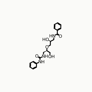 O=C(NC[C@H](CO)OC[C@@H](O)CNC(=O)c1ccccc1)Nc1ccccc1